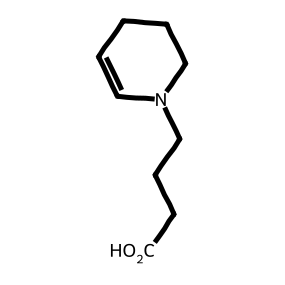 O=C(O)CCCN1C=CCCC1